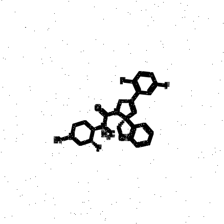 CC(C)N1CC[C@@H](N(C)C(=O)N2CC(c3cc(F)ccc3F)=C[C@@]2(CO)c2ccccc2)[C@H](F)C1